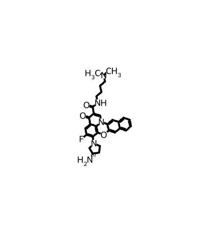 CN(C)CCCCNC(=O)c1cn2c3c(c(N4CC[C@H](N)C4)c(F)cc3c1=O)Oc1cc3ccccc3cc1-2